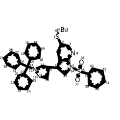 CCCCSc1cnc2c(c1)c(-c1cnn(C(c3ccccc3)(c3ccccc3)c3ccccc3)c1)cn2S(=O)(=O)c1ccccc1